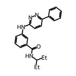 CCC(CC)NC(=O)c1cccc(Nc2ccc(-c3ccccc3)nn2)c1